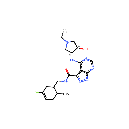 COC1CC=C(F)CC1CNC(=O)c1n[nH]c2ncnc(N[C@@H]3CN(CC(F)(F)F)C[C@H]3O)c12